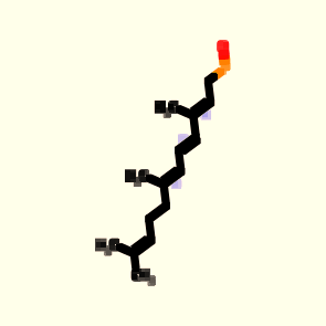 CC(C)=CCC/C(C)=C/C=C/C(C)=C/CP=O